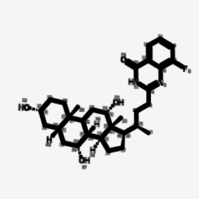 C[C@H](CCc1nc2c(F)cccc2c(=O)[nH]1)[C@H]1CC[C@H]2[C@H]3C(C[C@H](O)[C@]12C)[C@@]1(C)CC[C@@H](O)C[C@H]1C[C@H]3O